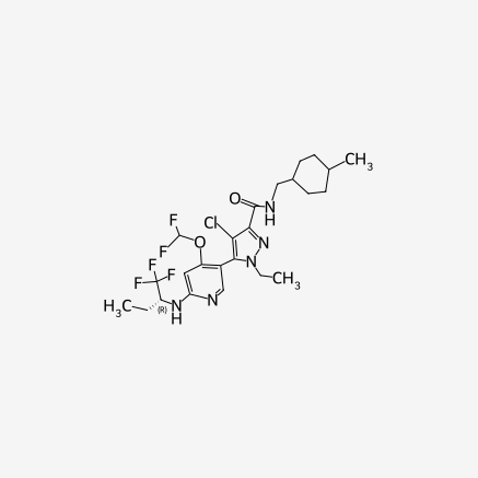 CC[C@@H](Nc1cc(OC(F)F)c(-c2c(Cl)c(C(=O)NCC3CCC(C)CC3)nn2CC)cn1)C(F)(F)F